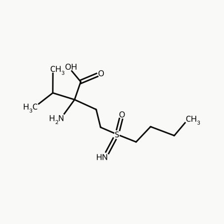 CCCCS(=N)(=O)CCC(N)(C(=O)O)C(C)C